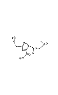 O=C(O)c1cc(CC2CO2)ccc1C(=O)OCC1CO1